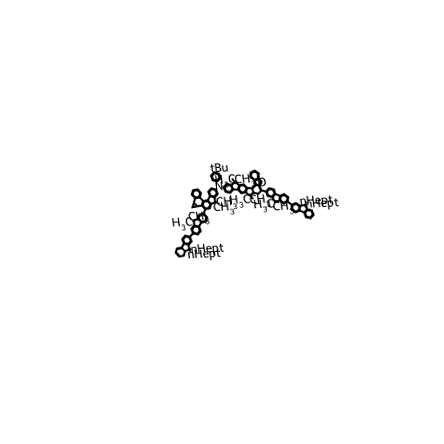 CCCCCCCC1(CCCCCCC)c2ccccc2-c2ccc(-c3ccc4c(c3)C(C)(C)c3cc(C5=c6oc7ccccc7c6=C6c7cc8c(cc7C(C)(C)C6C5)-c5ccc(N(c6ccc(C(C)(C)C)cc6)c6ccc7c(c6)C(C)(C)c6cc(-c9ccc%10c(c9)C(C)(C)c9cc(-c%11ccc%12c(c%11)C(CCCCCCC)(CCCCCCC)C%11CC=CC=C%12%11)ccc9-%10)c9c(c6-7)-c6ccccc6C6CC96)cc5C8(C)C)ccc3-4)cc21